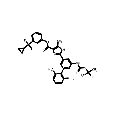 Cc1cccc(C)c1-c1cc(NC(=O)OC(C)(C)C)cc(-c2nc(C(=O)Nc3cccc(C(F)(F)C4CC4)c3)c(C)[nH]2)c1